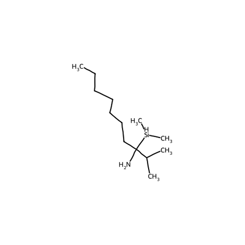 CCCCCCCC(N)(C(C)C)[SiH](C)C